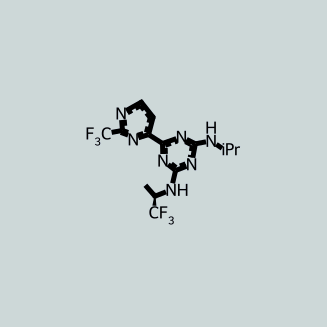 CC(C)Nc1nc(N[C@H](C)C(F)(F)F)nc(-c2ccnc(C(F)(F)F)n2)n1